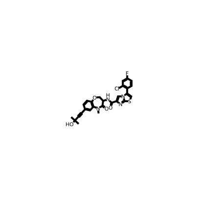 CN1C(=O)C(NC(=O)c2cn3c(-c4ccc(F)cc4Cl)csc3n2)COc2ccc(C#CC(C)(C)O)cc21